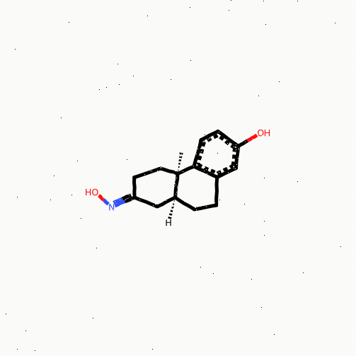 C[C@@]12CC/C(=N\O)C[C@@H]1CCc1cc(O)ccc12